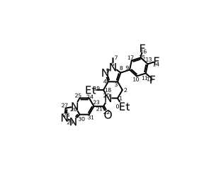 CCC1Cc2c(nn(C)c2-c2cc(F)c(F)c(F)c2)C(CC)N1C(=O)c1ccn2cnnc2c1